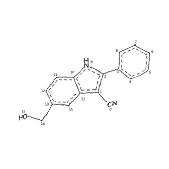 N#Cc1c(-c2ccccc2)[nH]c2ccc(CO)cc12